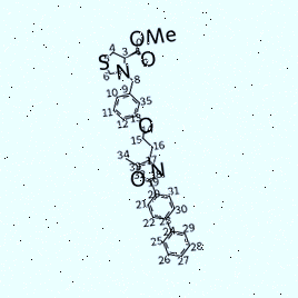 COC(=O)[C@@H]1CSCN1Cc1cccc(OCCc2nc(-c3ccc(-c4ccccc4)cc3)oc2C)c1